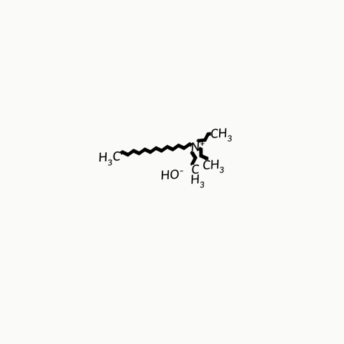 CCCCCCCCCCCCCC[N+](CCCC)(CCCC)CCCC.[OH-]